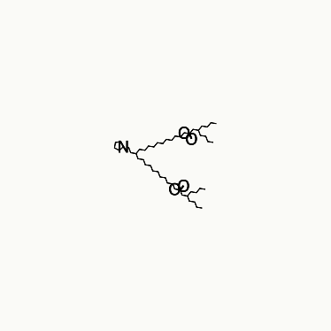 CCCCC(CCCC)CC(=O)OCCCCCCCCCCC(CCCCCCCCCCOC(=O)CC(CCCC)CCCC)CCN1CCCC1